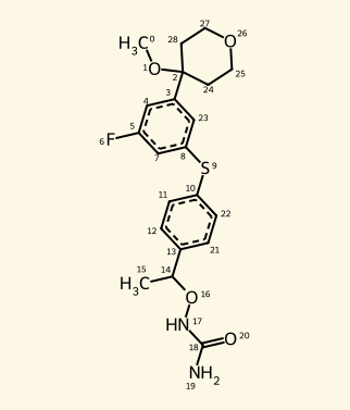 COC1(c2cc(F)cc(Sc3ccc(C(C)ONC(N)=O)cc3)c2)CCOCC1